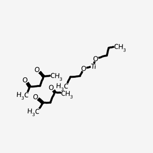 CC(=O)CC(C)=O.CC(=O)CC(C)=O.CCC[O][Ti][O]CCC